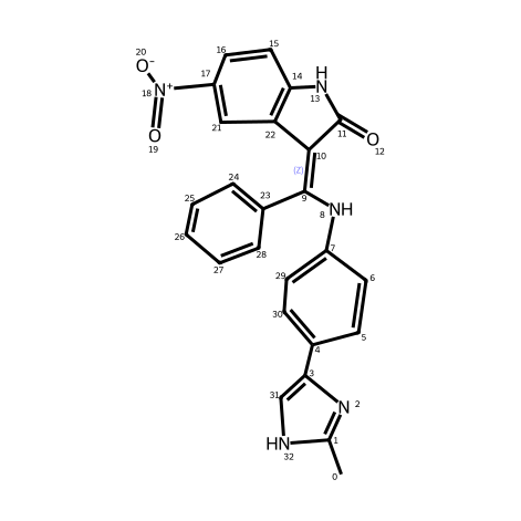 Cc1nc(-c2ccc(N/C(=C3\C(=O)Nc4ccc([N+](=O)[O-])cc43)c3ccccc3)cc2)c[nH]1